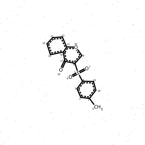 Cc1ccc(S(=O)(=O)c2coc3ccccc3c2=O)cc1